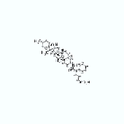 C[C@H]1CC[C@@]2(OC1)O[C@H]1CC3[C@@H]4CC[C@@H]5C[C@H](NC(=O)N(CCCC(=O)O)C6CCCCC6)CC[C@]5(C)C4CC[C@]3(C)[C@H]1[C@@H]2C